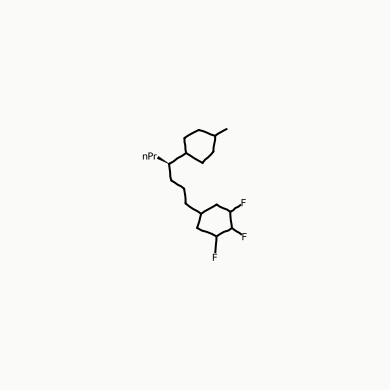 CCC[C@H](CCCC1CC(F)C(F)C(F)C1)C1CCC(C)CC1